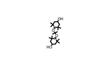 CC(C)(ON1C(C)(C)CC(O)CC1(C)C)ON1C(C)(C)CC(O)CC1(C)C